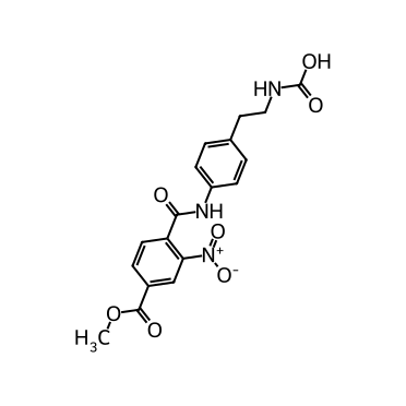 COC(=O)c1ccc(C(=O)Nc2ccc(CCNC(=O)O)cc2)c([N+](=O)[O-])c1